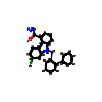 NC(=O)c1cccc2c1c1[c]cc(F)cc1n2Cc1ccccc1-c1ccccc1